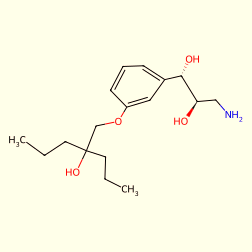 CCCC(O)(CCC)COc1cccc([C@H](O)[C@H](O)CN)c1